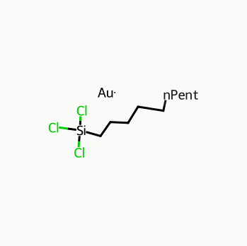 CCCCCCCCCC[Si](Cl)(Cl)Cl.[Au]